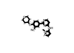 Cn1nccc1Nc1ccnc(-c2ccc(OC3CCOCC3)c(C#N)c2)n1